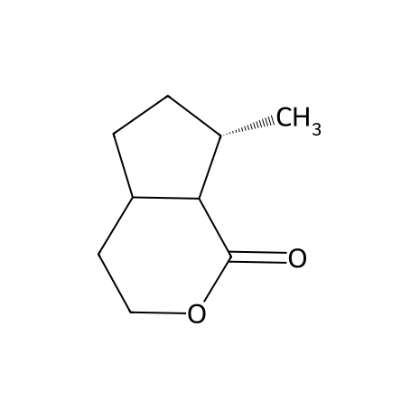 C[C@H]1CCC2CCOC(=O)C21